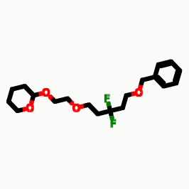 FC(F)(CCOCCOC1CCCCO1)CCOCc1ccccc1